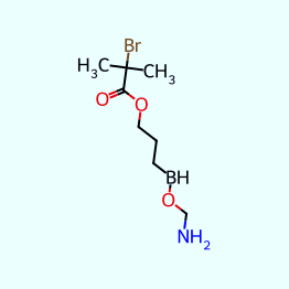 CC(C)(Br)C(=O)OCCCBOCN